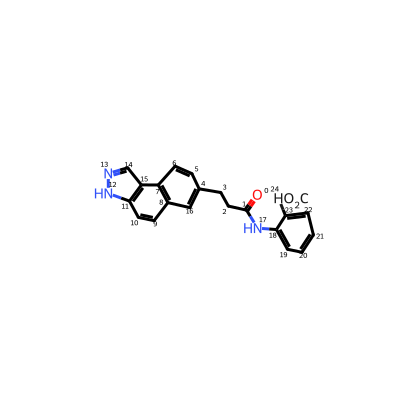 O=C(CCc1ccc2c(ccc3[nH]ncc32)c1)Nc1ccccc1C(=O)O